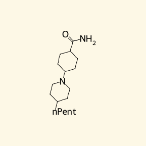 CCCCCC1CCN(C2CCC(C(N)=O)CC2)CC1